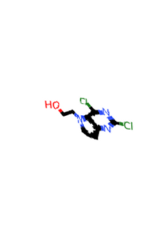 OCCn1ccc2nc(Cl)nc(Cl)c21